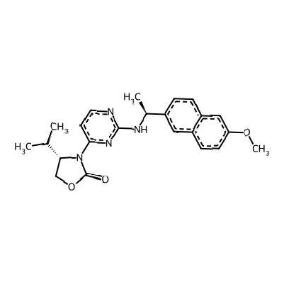 COc1ccc2cc([C@H](C)Nc3nccc(N4C(=O)OC[C@@H]4C(C)C)n3)ccc2c1